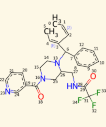 C/C=C\C(=C/C)C(c1ccccc1)N1CCN(C(=O)c2cccnc2)CC1CNC(=O)C(F)(F)F